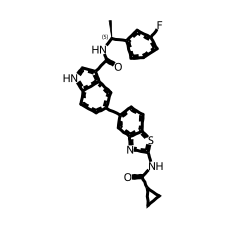 C[C@H](NC(=O)c1c[nH]c2ccc(-c3ccc4sc(NC(=O)C5CC5)nc4c3)cc12)c1cccc(F)c1